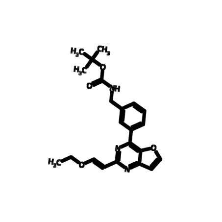 CCOC=Cc1nc(-c2cccc(CNC(=O)OC(C)(C)C)c2)c2occc2n1